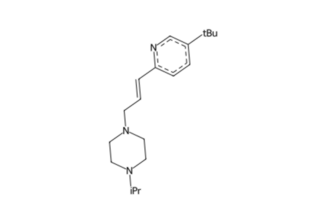 CC(C)N1CCN(C/C=C/c2ccc(C(C)(C)C)cn2)CC1